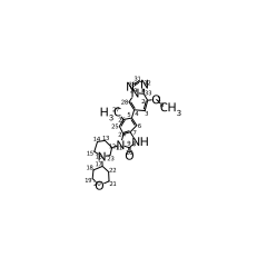 COc1cc(-c2cc3[nH]c(=O)n([C@@H]4CCCN(C5CCOCC5)C4)c3cc2C)cn2ncnc12